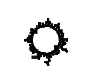 C/C=C/C[C@H]1C[C@@]1(O)[C@H]1C(=O)N[C@@H](CC)C(=O)N(C)[C@H](SCCN(C)C)C(=O)N(C)[C@@H](CC(C)(C)O)C(=O)N[C@@H](C(C)C)C(=O)N(C)[C@@H](CC(C)C)C(=O)N[C@@H](C)C(=O)N[C@H](C)C(=O)N(C)[C@@H](CC(C)C)C(=O)N(C)[C@@H](CC(C)C)C(=O)N(C)[C@@H](C(C)C)C(=O)N1C